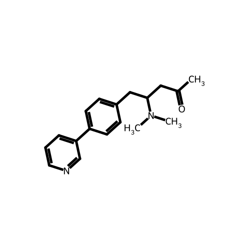 CC(=O)CC(Cc1ccc(-c2cccnc2)cc1)N(C)C